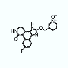 O=c1[nH]ccc2c3[nH]c(OCc4ccc[n+]([O-])c4)nc3c3ccc(F)cc3c12